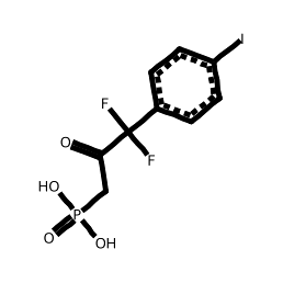 O=C(CP(=O)(O)O)C(F)(F)c1ccc(I)cc1